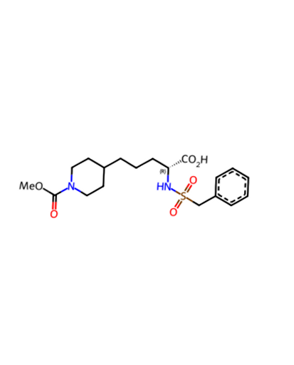 COC(=O)N1CCC(CCC[C@@H](NS(=O)(=O)Cc2ccccc2)C(=O)O)CC1